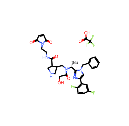 CC(C)(C)[C@H](c1nc(-c2cc(F)ccc2F)cn1Cc1ccccc1)N(CC1CNCC1C(=O)NCCN1C(=O)C=CC1=O)C(=O)CO.O=C(O)C(F)(F)F